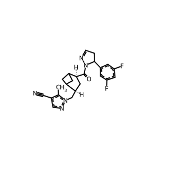 Cc1c(C#N)cnn1C[C@@H]1C[C@H](C(=O)N2N=CCC2c2cc(F)cc(F)c2)C2CC1C2